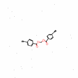 C#Cc1ccc(C(=O)OCOC(=O)c2ccc(C#C)cc2)cc1